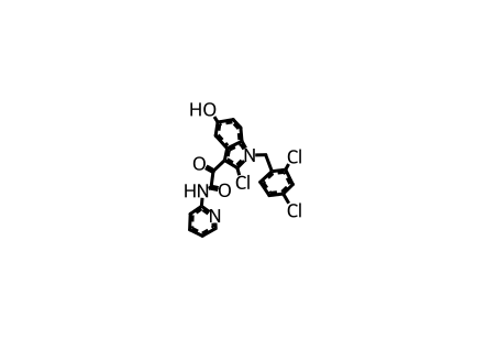 O=C(Nc1ccccn1)C(=O)c1c(Cl)n(Cc2ccc(Cl)cc2Cl)c2ccc(O)cc12